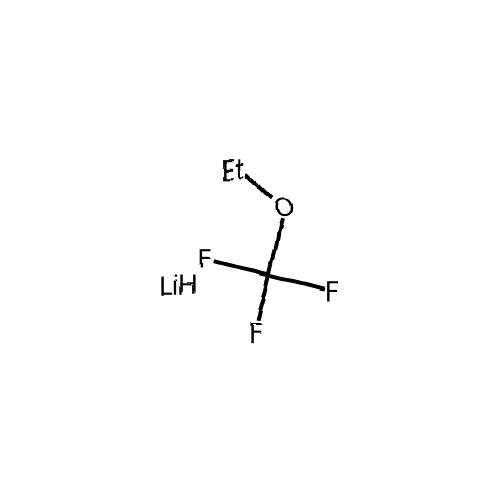 CCOC(F)(F)F.[LiH]